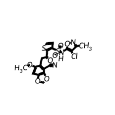 COc1cc2c(c(C#N)c1CC(=O)c1sccc1S(=O)(=O)Nc1onc(C)c1Cl)OCO2